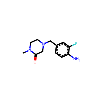 CN1CCN(Cc2ccc(N)c(F)c2)CC1=O